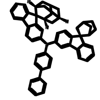 c1ccc(-c2ccc(N(c3ccc4c(c3)-c3ccccc3[C@]43CC4CCC3C4)c3ccc4c(c3)C3(c5ccccc5-4)[C@H]4CC5C[C@H](C4)C[C@H]3C5)cc2)cc1